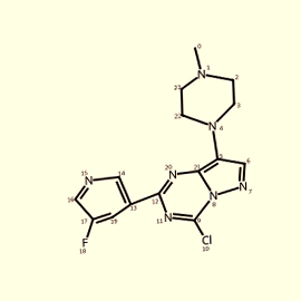 CN1CCN(c2cnn3c(Cl)nc(-c4cncc(F)c4)nc23)CC1